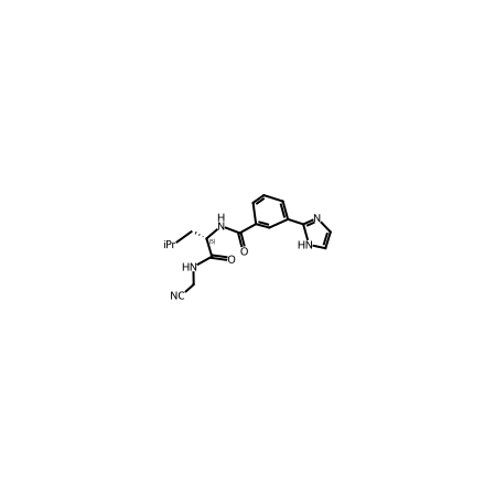 CC(C)C[C@H](NC(=O)c1cccc(-c2ncc[nH]2)c1)C(=O)NCC#N